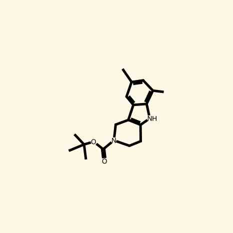 Cc1cc(C)c2[nH]c3c(c2c1)CN(C(=O)OC(C)(C)C)CC3